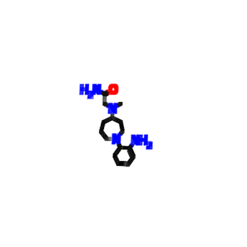 CN(CC(N)=O)C1CCCN(C2CC=CC=C2N)CC1